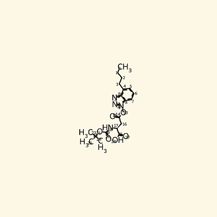 CCCCc1cccc2c1nnn2OC(=O)C[C@H](NC(=O)OC(C)(C)C)C(=O)O